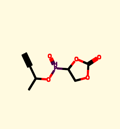 C#CC(C)O[PH](=O)C1COC(=O)O1